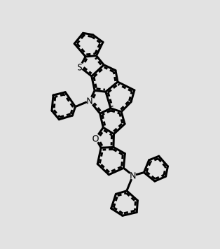 c1ccc(N(c2ccccc2)c2ccc3oc4c(cc5ccc6cc7c8ccccc8sc7c7c6c5c4n7-c4ccccc4)c3c2)cc1